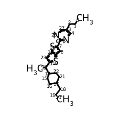 CCCc1cnc(-c2cc3sc(C(C)C4CCC(CCC)CC4)cc3s2)nc1